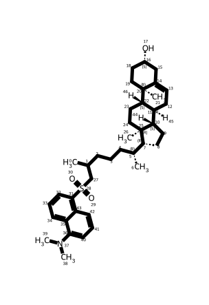 CC(CCC[C@@H](C)[C@H]1CC[C@H]2[C@@H]3CC=C4C[C@@H](O)CC[C@]4(C)[C@H]3CC[C@]12C)CS(=O)(=O)c1cccc2c(N(C)C)cccc12